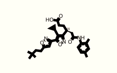 Cc1ccc(NC(=O)C[C@H](CCC(=O)O)c2noc(-c3cc(CCC(C)(C)C)on3)c2C2CC2)c(C)c1